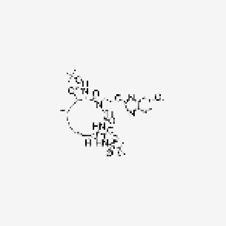 COc1ccc2ncc(O[C@@H]3C[C@H]4C(=O)N[C@]5(C(=O)NS(=O)(=O)C6(C)CC6)C[C@H]5/C=C\CC[C@@H](C)C[C@@H](C)[C@H](NC(=O)OC(C)(C)C)C(=O)N4C3)nc2c1